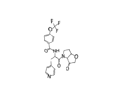 O=C(NC(Cc1ccncc1)C(=O)N1CCC2OCC(=O)C21)c1ccc(OC(F)(F)F)cc1